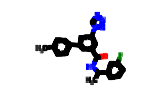 Cc1ccc(-c2cc(C(=O)NC(C)c3cccc(F)c3)cc(-n3cnnn3)c2)cc1